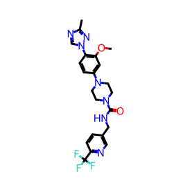 COc1cc(N2CCN(C(=O)NCc3ccc(C(F)(F)F)nc3)CC2)ccc1-n1cnc(C)n1